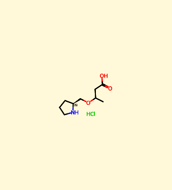 CC(CC(=O)O)OC[C@@H]1CCCN1.Cl